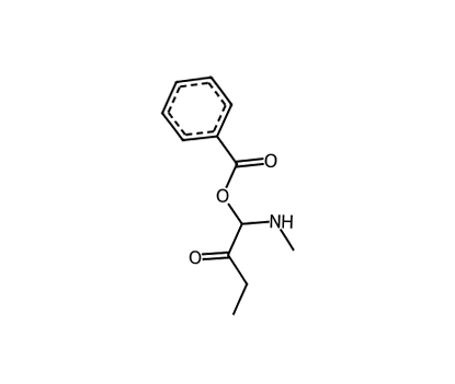 CCC(=O)C(NC)OC(=O)c1ccccc1